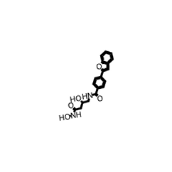 O=C(CC(O)CNC(=O)c1ccc(-c2cc3ccccc3o2)cc1)NO